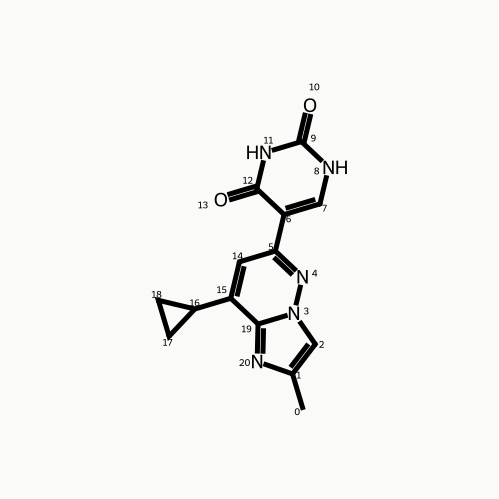 Cc1cn2nc(-c3c[nH]c(=O)[nH]c3=O)cc(C3CC3)c2n1